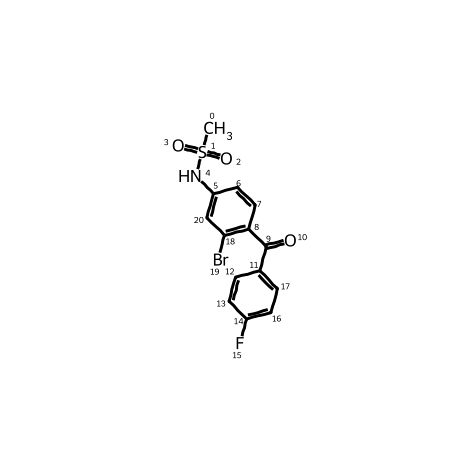 CS(=O)(=O)Nc1ccc(C(=O)c2ccc(F)cc2)c(Br)c1